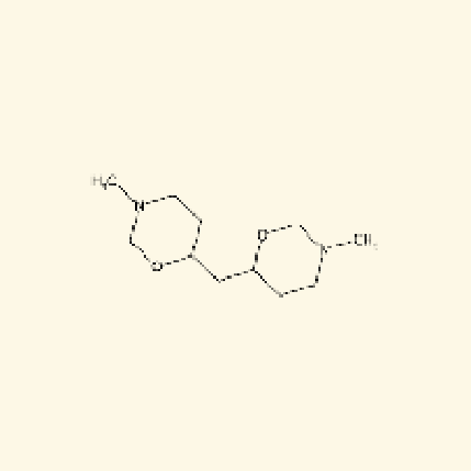 CN1CCC(CC2CCN(C)CO2)OC1